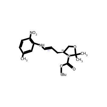 Cc1ccc([N+](=O)[O-])c(N/C=C/C[C@H]2COC(C)(C)N2C(=O)OC(C)(C)C)c1